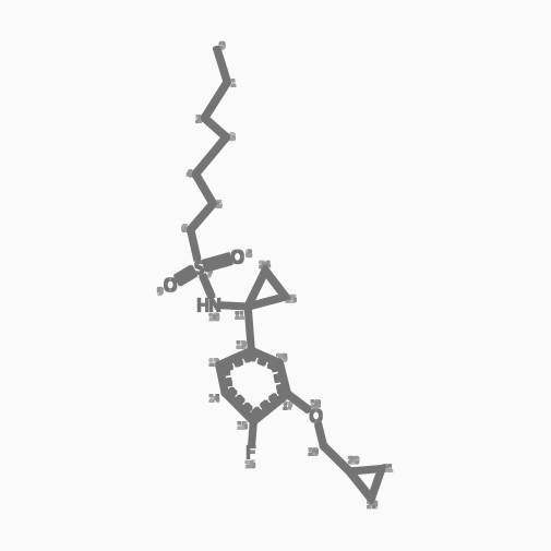 CCCCCCCS(=O)(=O)NC1(c2ccc(F)c(OCC3CC3)c2)CC1